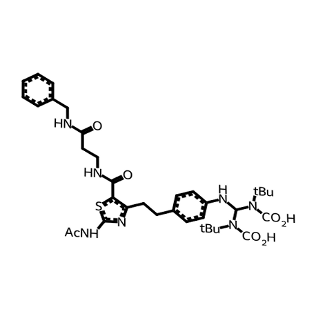 CC(=O)Nc1nc(CCc2ccc(NC(N(C(=O)O)C(C)(C)C)N(C(=O)O)C(C)(C)C)cc2)c(C(=O)NCCC(=O)NCc2ccccc2)s1